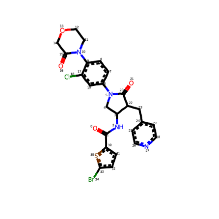 O=C(NC1CN(c2ccc(N3CCOCC3=O)c(Cl)c2)C(=O)C1Cc1ccncc1)c1ccc(Br)s1